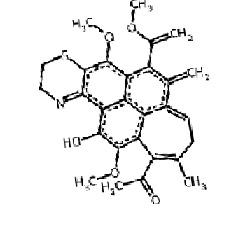 C=C(OC)c1c(=C)c2c3c(c(OC)c(O)c4c5c(c(OC)c1c43)SCCN=5)C(C(C)=O)=C(C)CC=2